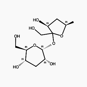 C[C@@H]1C[C@H](O)C(CO)(O[C@H]2O[C@H](CO)[C@@H](O)C[C@H]2O)O1